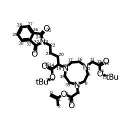 C=C(C)OC(=O)CN1CCN(CC(=O)OC(C)(C)C)CCN(C(CCCN2C(=O)c3ccccc3C2=O)C(=O)OC(C)(C)C)CC1